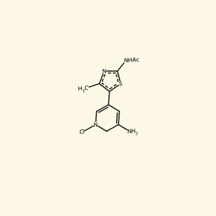 CC(=O)Nc1nc(C)c(C2=CN(Cl)CC(N)=C2)s1